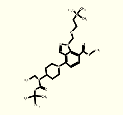 CCN(C(=O)OC(C)(C)C)C1CCN(c2ccc(C(=O)OC)c3c2cnn3COCC[Si](C)(C)C)CC1